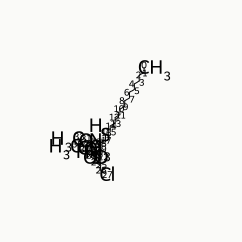 CCCCCCCCCCCCCCCCSCC(CNS(=O)(=O)CCCCl)NC(=O)OC(C)(C)C